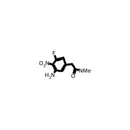 CNC(=O)Cc1cc(N)c([N+](=O)[O-])c(F)c1